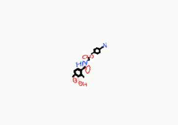 Cc1c(C(=O)NCC(=O)OCc2ccc(C#N)cc2)ccc2c1B(O)OC2